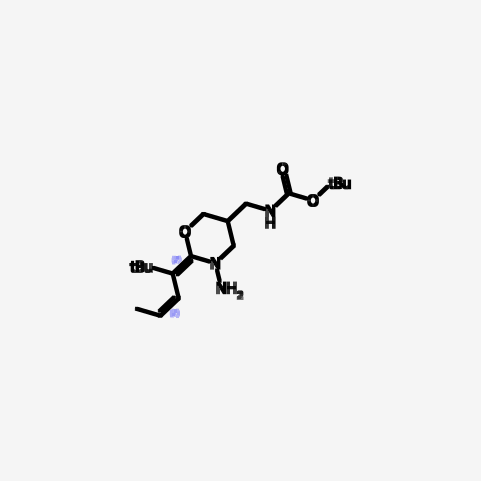 C/C=C\C(=C1\OCC(CNC(=O)OC(C)(C)C)CN1N)C(C)(C)C